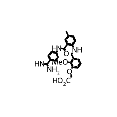 COc1c(CNc2ccc(C)cc2C(=O)Nc2ccc(C(=N)N)cc2)cccc1OCC(=O)O